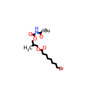 C=C(COC(=O)CCCCCCCBr)COC(=O)NC(=O)CCCC